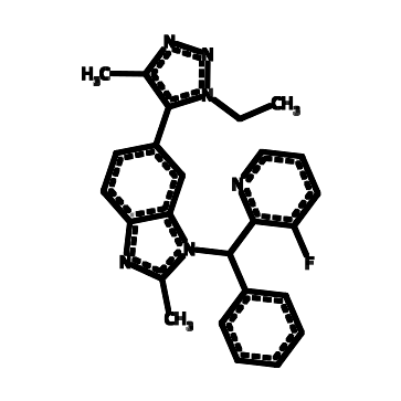 CCn1nnc(C)c1-c1ccc2nc(C)n(C(c3ccccc3)c3ncccc3F)c2c1